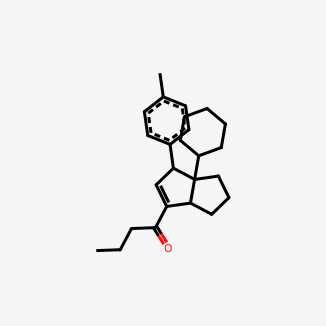 CCCC(=O)C1=CC(c2ccc(C)cc2)C2(C3CCCCC3)CCCC12